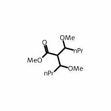 CCCC(OC)C(C(=O)OC)C(CCC)OC